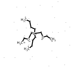 CCCC[Si](CCCC)(COCC)COCC